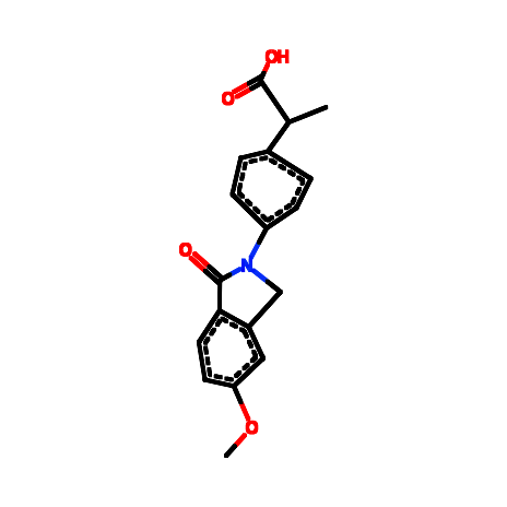 COc1ccc2c(c1)CN(c1ccc(C(C)C(=O)O)cc1)C2=O